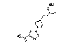 CCCCNc1nnc(-c2ccc(C=CC(=O)OC(C)(C)C)cc2)s1